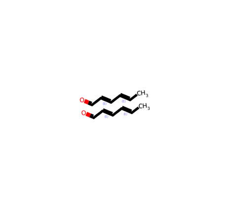 C/C=C/C=C/C=O.C/C=C/C=C/C=O